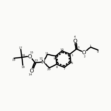 CCOC(=O)c1ccc2c(c1)CN(C(=O)OC(C)(C)C)C2